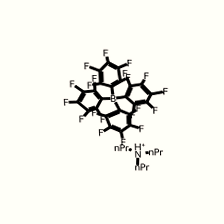 CCC[NH+](CCC)CCC.Fc1c(F)c(F)c([B-](c2c(F)c(F)c(F)c(F)c2F)(c2c(F)c(F)c(F)c(F)c2F)c2c(F)c(F)c(F)c(F)c2F)c(F)c1F